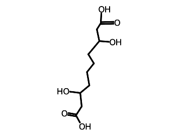 O=C(O)CC(O)CCCCC(O)CC(=O)O